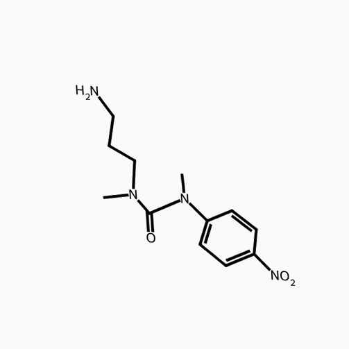 CN(CCCN)C(=O)N(C)c1ccc([N+](=O)[O-])cc1